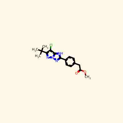 COC(=O)Cc1ccc(-c2nn3nc(C(C)(C)C)c(Cl)c3[nH]2)cc1